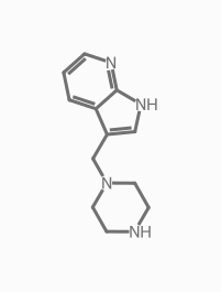 c1cnc2[nH]cc(CN3CCNCC3)c2c1